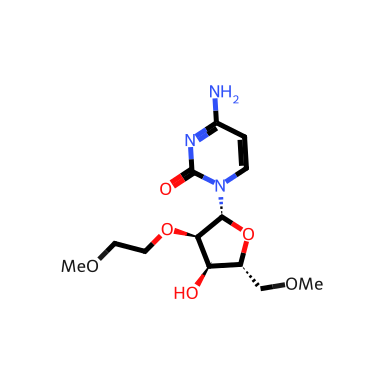 COCCO[C@@H]1[C@H](O)[C@@H](COC)O[C@H]1n1ccc(N)nc1=O